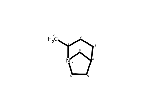 [CH2]C1CCC2CCN1C2